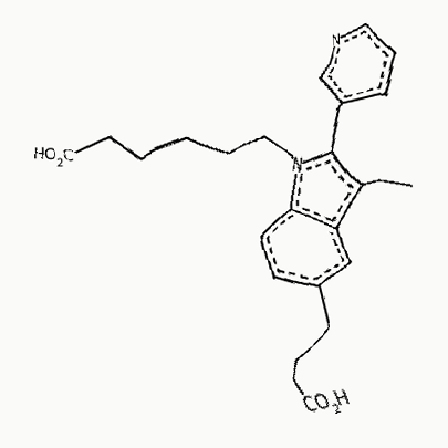 Cc1c(-c2cccnc2)n(CCCCCC(=O)O)c2ccc(CCC(=O)O)cc12